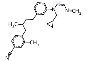 C=N/C=C\N(CC1CC1)c1cccc(CCC(C)Cc2ccc(C#N)cc2C)c1